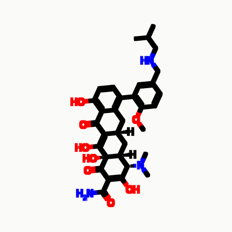 COc1ccc(CNCC(C)C)cc1-c1ccc(O)c2c1C[C@H]1C[C@H]3[C@H](N(C)C)C(O)=C(C(N)=O)C(=O)[C@@]3(O)C(O)=C1C2=O